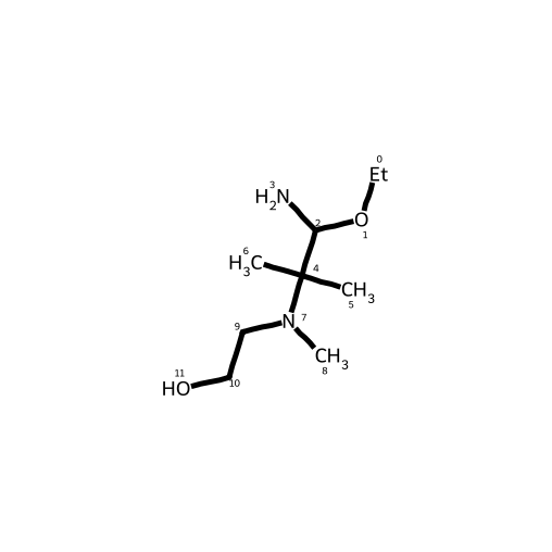 CCOC(N)C(C)(C)N(C)CCO